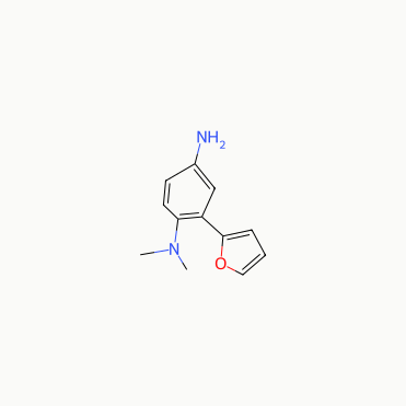 CN(C)c1ccc(N)cc1-c1ccco1